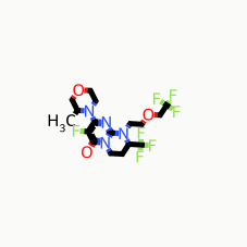 CC1COCCN1c1nc2n(c(=O)c1F)CCC(C(F)(F)F)N2CCOCC(F)(F)F